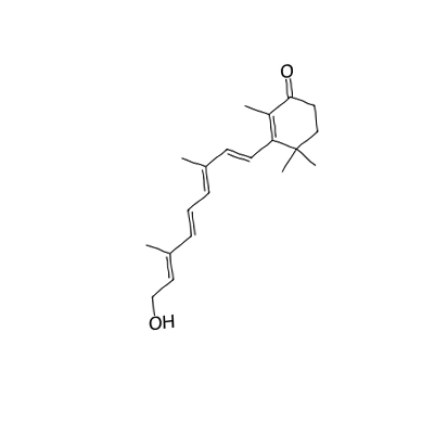 CC(C=CC1=C(C)C(=O)CCC1(C)C)=CC=C/C(C)=C/CO